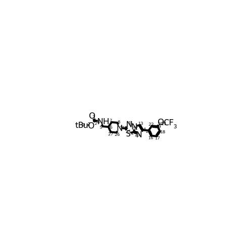 CC(C)(C)OC(=O)NCC1CCN(c2nn3cc(-c4cccc(OC(F)(F)F)c4)nc3s2)CC1